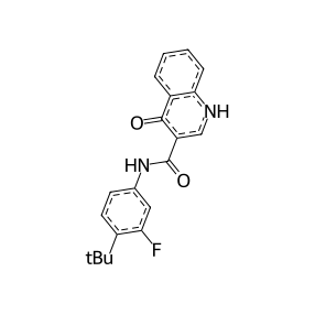 CC(C)(C)c1ccc(NC(=O)c2c[nH]c3ccccc3c2=O)cc1F